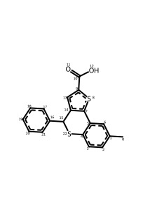 Cc1ccc2c(c1)-c1sc(C(=O)O)cc1C(c1ccccc1)S2